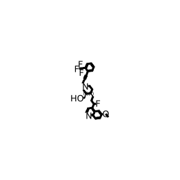 COc1ccc2nccc(C(F)CC[C@@H]3CCN(CC#Cc4ccccc4C(F)(F)F)C[C@@H]3CO)c2c1